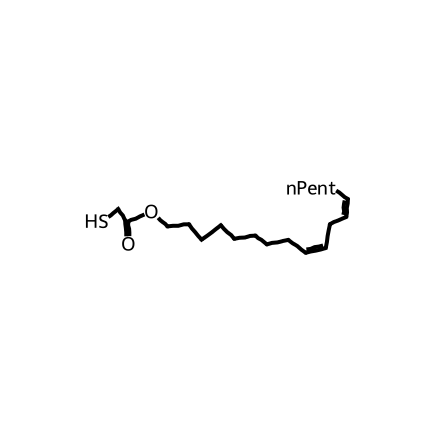 CCCCC/C=C\C/C=C\CCCCCCCCOC(=O)CS